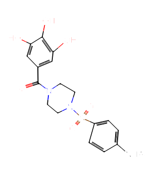 CC(=O)Nc1ccc(S(=O)(=O)N2CCN(C(=O)c3cc(O)c(O)c(O)c3)CC2)cc1